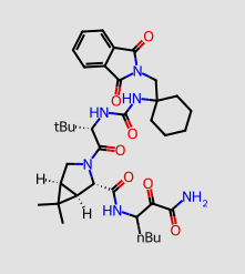 CCCCC(NC(=O)[C@@H]1[C@@H]2[C@H](CN1C(=O)[C@@H](NC(=O)NC1(CN3C(=O)c4ccccc4C3=O)CCCCC1)C(C)(C)C)C2(C)C)C(=O)C(N)=O